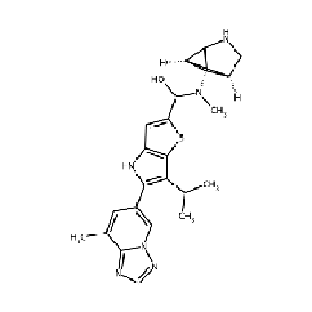 Cc1cc(-c2[nH]c3cc(C(O)N(C)[C@]45C6NC[C@@H]4[C@H]65)sc3c2C(C)C)cn2ncnc12